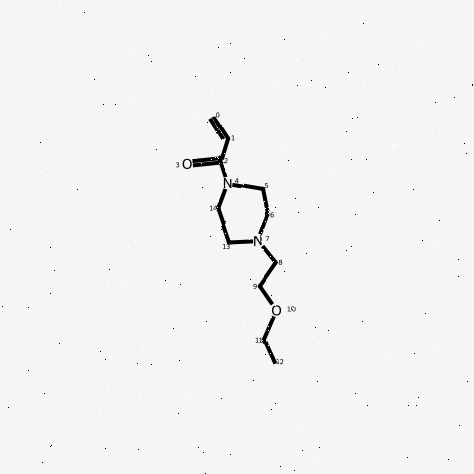 C=CC(=O)N1CCN(CCOCC)CC1